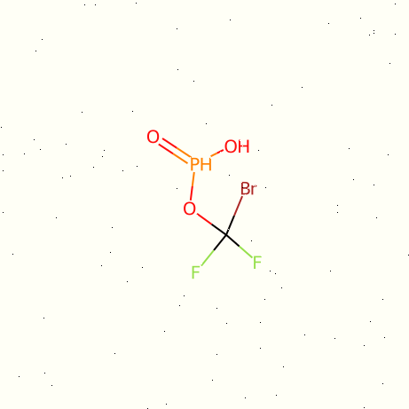 O=[PH](O)OC(F)(F)Br